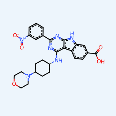 O=C(O)c1ccc2c(c1)[nH]c1nc(-c3cccc([N+](=O)[O-])c3)nc(N[C@H]3CC[C@H](N4CCOCC4)CC3)c12